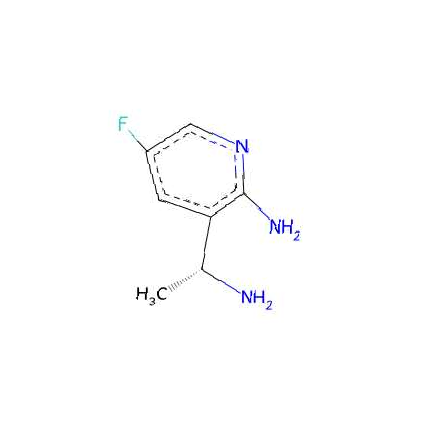 C[C@@H](N)c1cc(F)cnc1N